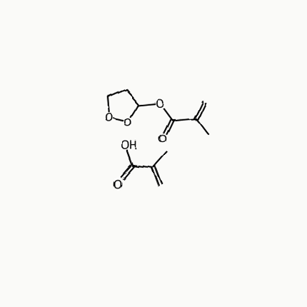 C=C(C)C(=O)O.C=C(C)C(=O)OC1CCOO1